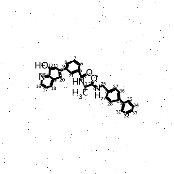 CC(NC(=O)c1cccc(-c2cc(O)c3ncccc3c2)c1)C(=O)NCc1ccc(-c2ccccc2)cc1